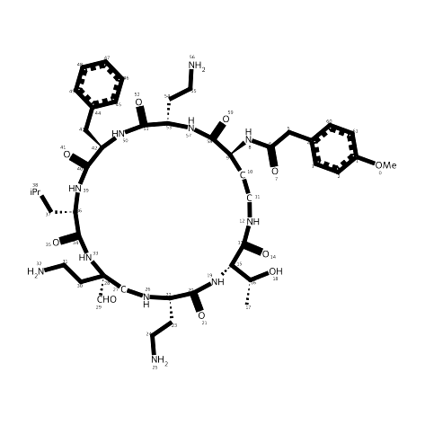 COc1ccc(CC(=O)N[C@H]2CCNC(=O)[C@H]([C@@H](C)O)NC(=O)[C@H](CCN)NC[C@@](C=O)(CCN)NC(=O)[C@H](CC(C)C)NC(=O)[C@@H](Cc3ccccc3)NC(=O)[C@H](CCN)NC2=O)cc1